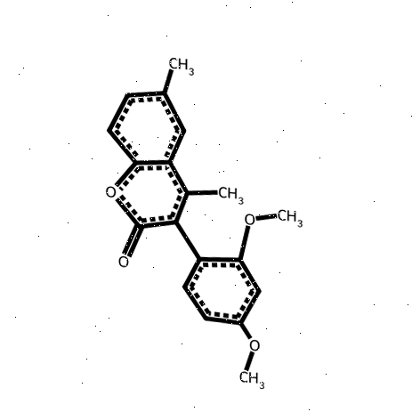 COc1ccc(-c2c(C)c3cc(C)ccc3oc2=O)c(OC)c1